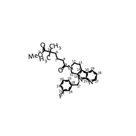 COC(=O)C(C)(C)CCCC(=O)N1CCc2c(n(Cc3cccc(F)c3)c3ncccc23)C1